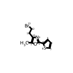 Cc1oc(-c2cccs2)nc1CCBr